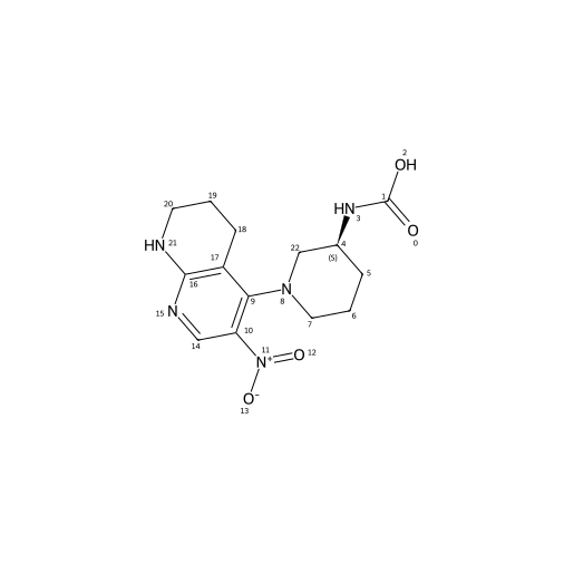 O=C(O)N[C@H]1CCCN(c2c([N+](=O)[O-])cnc3c2CCCN3)C1